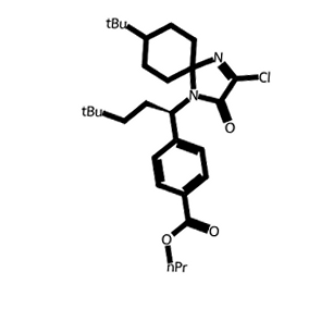 CCCOC(=O)c1ccc([C@@H](CCC(C)(C)C)N2C(=O)C(Cl)=NC23CCC(C(C)(C)C)CC3)cc1